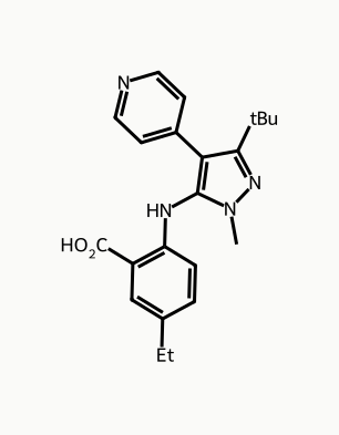 CCc1ccc(Nc2c(-c3ccncc3)c(C(C)(C)C)nn2C)c(C(=O)O)c1